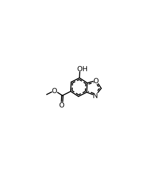 COC(=O)c1cc(O)c2ocnc2c1